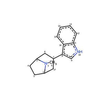 CN1C2CCC1CC(c1c[nH]c3ccccc13)C2